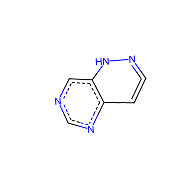 C1=Cc2ncncc2NN=1